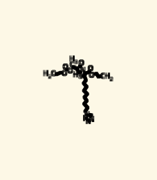 C=CCOC(=O)O[C@H](C)[C@H]1C(=O)N2C(C(=O)OCC=C)=C(CCCCCCCCCCn3cnnn3)S[C@H]12